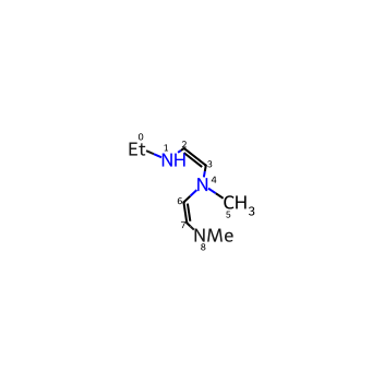 CCN/C=C\N(C)/C=C\NC